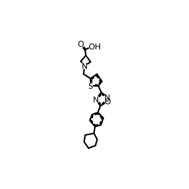 O=C(O)C1CN(Cc2ccc(-c3noc(-c4ccc(C5CCCCC5)cc4)n3)s2)C1